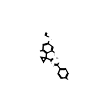 O=CNc1cc(F)c(C2(c3noc(-c4ccc(F)cc4)n3)CC2)c(F)c1